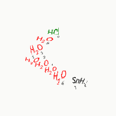 Cl.O.O.O.O.O.O.[SnH2]